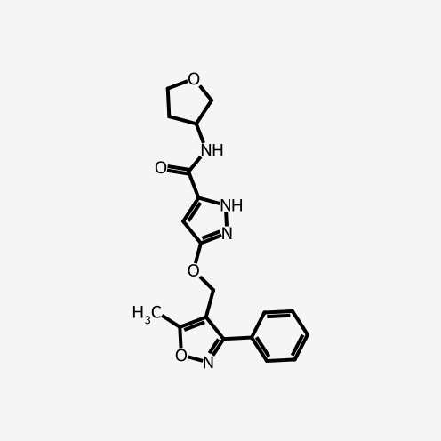 Cc1onc(-c2ccccc2)c1COc1cc(C(=O)NC2CCOC2)[nH]n1